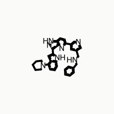 c1ccc(CNCc2cncc(-c3ccc4[nH]nc(-c5cc6c(N7CCCCC7)cccc6[nH]5)c4n3)c2)cc1